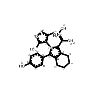 Cc1noc(C)c1-n1c(/C(N)=N/O)c2c(c1-c1ccc(O)cc1)CCCC2